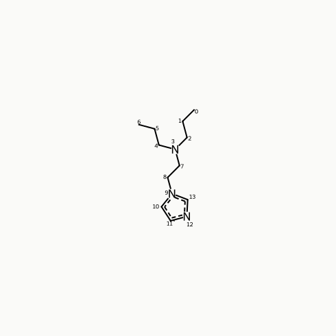 CCCN(CCC)CCn1c[c]nc1